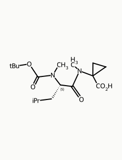 CC(C)C[C@@H](C(=O)N(C)C1(C(=O)O)CC1)N(C)C(=O)OC(C)(C)C